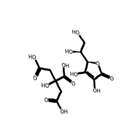 O=C(O)CC(O)(CC(=O)O)C(=O)O.O=C1O[C@H]([C@@H](O)CO)C(O)=C1O